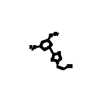 CC(C)Oc1cc(-c2ncn(/C=C\C#N)n2)cc(C(F)(F)F)c1